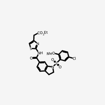 CCOC(=O)Cc1csc(NC(=O)c2ccc3c(c2)N(S(=O)(=O)c2cc(Cl)ccc2OC)CC3)n1